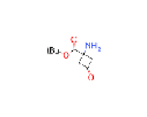 CC(C)(C)OC(=O)C1(N)CC(=O)C1